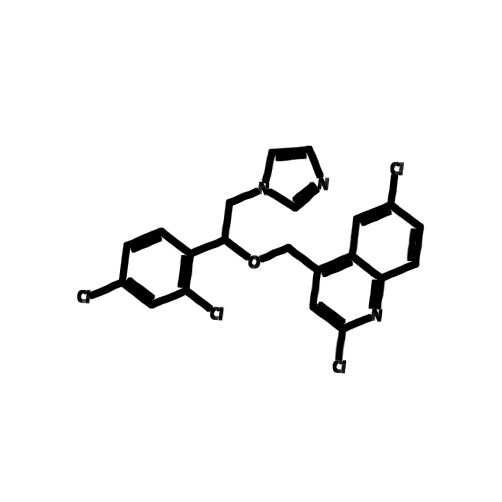 Clc1ccc(C(Cn2ccnc2)OCc2cc(Cl)nc3ccc(Cl)cc23)c(Cl)c1